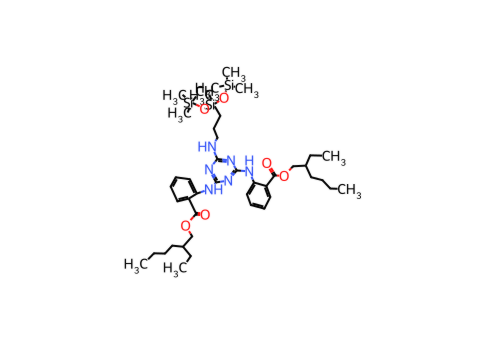 CCCCC(CC)COC(=O)c1ccccc1Nc1nc(NCCC[Si](C)(O[Si](C)(C)C)O[Si](C)(C)C)nc(Nc2ccccc2C(=O)OCC(CC)CCCC)n1